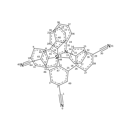 N#Cc1ccc([Si](c2ccccc2)(c2ccccc2)c2ccccc2)c(-c2ccc(C#N)cc2-n2c3ccccc3c3cc(C#N)ccc32)c1